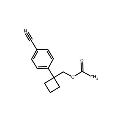 CC(=O)OCC1(c2ccc(C#N)cc2)CCC1